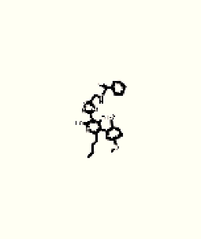 CCCCc1nc(O)c(-c2nnc(CNC(=O)c3ccccc3)o2)c(O)c1-c1cc(OC)ccc1OC